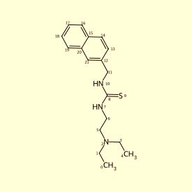 CCN(CC)CCNC(=S)NCc1ccc2ccccc2c1